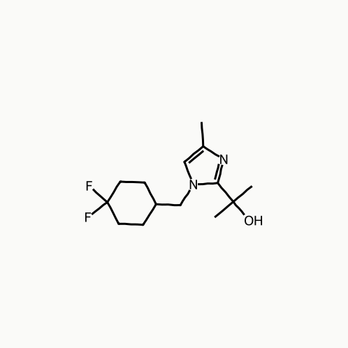 Cc1cn(CC2CCC(F)(F)CC2)c(C(C)(C)O)n1